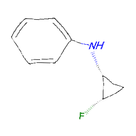 F[C@H]1C[C@H]1Nc1ccccc1